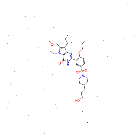 CCCOc1ccc(S(=O)(=O)N2CCC(CCCO)CC2)cc1-c1nc2c(CCC)c(COC)n(CC)c2c(=O)[nH]1